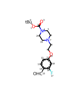 CC(C)(C)OC(=O)N1CCN(CCOc2ccc(C=O)c(F)c2)CC1